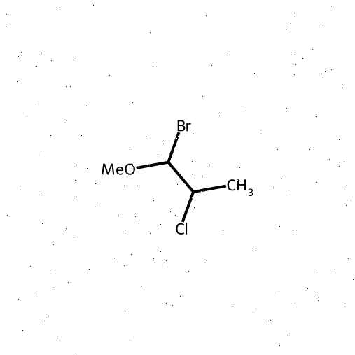 COC(Br)C(C)Cl